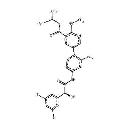 CNc1ncc(-c2ccc(NC(=O)[C@@H](O)c3cc(F)cc(F)c3)cc2C)cc1C(=O)NC(C)C